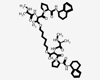 CN[C@@H](C)C(=O)N[C@H](C(=O)N1CCC[C@H]1C(=O)N[C@@H]1CCCc2ccccc21)C(C)OCCCCCCOC(C)[C@H](NC(=O)[C@H](C)NC)C(=O)N1CCC[C@H]1C(=O)N[C@@H]1CCCc2ccccc21